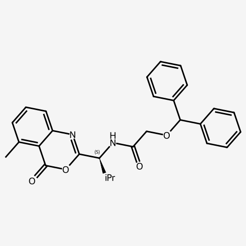 Cc1cccc2nc([C@@H](NC(=O)COC(c3ccccc3)c3ccccc3)C(C)C)oc(=O)c12